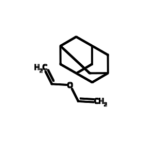 C1C2CC3CC1CC(C2)C3.C=COC=C